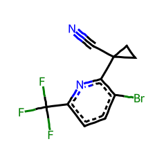 N#CC1(c2nc(C(F)(F)F)ccc2Br)CC1